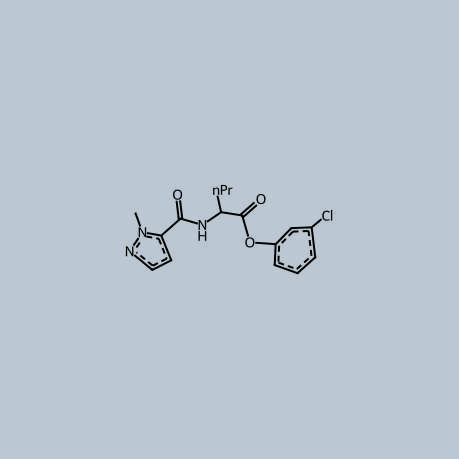 CCCC(NC(=O)c1ccnn1C)C(=O)Oc1cccc(Cl)c1